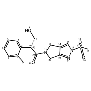 Cc1ccccc1[C@H](CO)C(=O)N1Cc2cn(S(C)(=O)=O)nc2C1